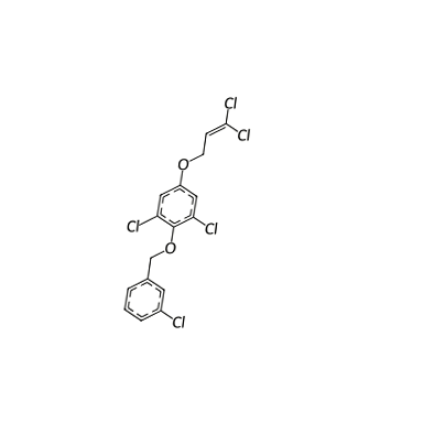 ClC(Cl)=CCOc1cc(Cl)c(OCc2cccc(Cl)c2)c(Cl)c1